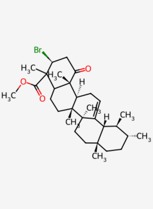 COC(=O)C1(C)C2CC[C@]3(C)[C@H](CC=C4[C@@H]5[C@@H](C)[C@H](C)CC[C@]5(C)CC[C@]43C)[C@@]2(C)C(=O)C[C@@H]1Br